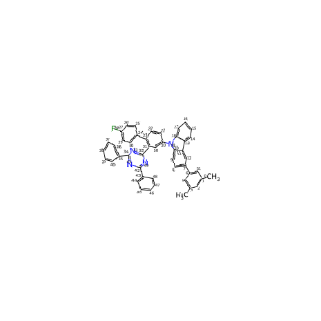 Cc1cc(C)cc(-c2ccc3c(c2)c2ccccc2n3-c2ccc(-c3ccc(F)cc3)c(-c3nc(-c4ccccc4)nc(-c4ccccc4)n3)c2)c1